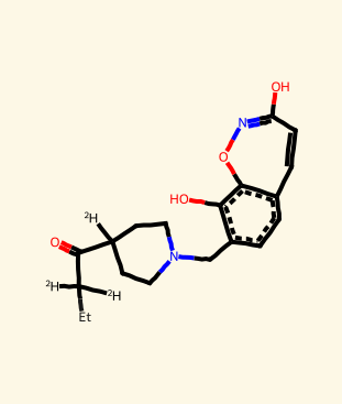 [2H]C([2H])(CC)C(=O)C1([2H])CCN(Cc2ccc3c(c2O)ON=C(O)C=C3)CC1